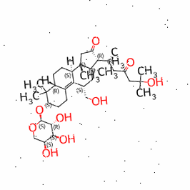 C[C@H](CC(=O)CC(C)(C)O)[C@H]1C(=O)C[C@@]2(C)[C@@H]3CC[C@@H]4C(=C3[C@@H](CO)C[C@]12C)CC[C@H](O[C@@H]1OC[C@H](O)[C@H](O)[C@H]1O)C4(C)C